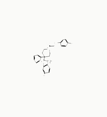 Cn1c(C2(c3ccccc3)CCN(C(=O)COc3ccc(F)cc3)CC2)nc2cc(F)ccc21